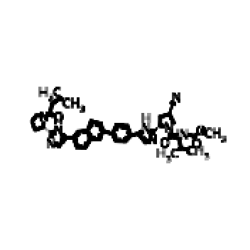 COC(=O)N[C@H](C(=O)N1C[C@H](C#N)C[C@H]1c1ncc(-c2ccc(-c3ccc4cc(-c5cnc([C@@H]6CCCN6C(=O)CC(C)C)[nH]5)ccc4c3)cc2)[nH]1)C(C)C